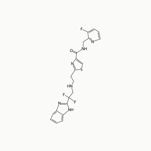 O=C(NCc1ncccc1F)c1csc(CCNCC(F)(F)c2nc3ccccc3[nH]2)n1